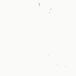 CC(CC1CC(F)(F)CC1C(C)CC1C[C@@H](C)[C@@H](F)CO1)C1CCCN(C)CC1